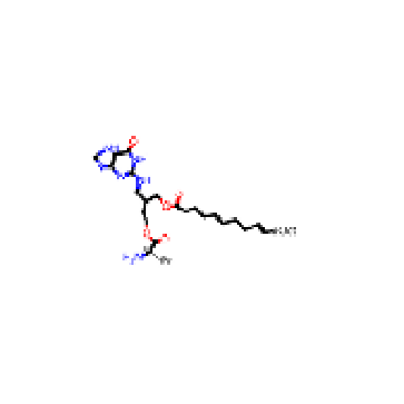 CCCCCCCCC=CCCCCCCCC(=O)OCC(CCOC(=O)[C@@H](N)C(C)C)CNc1nc2nc[nH]c2c(=O)[nH]1